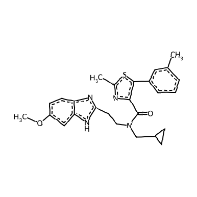 COc1ccc2nc(CCN(CC3CC3)C(=O)c3nc(C)sc3-c3cccc(C)c3)[nH]c2c1